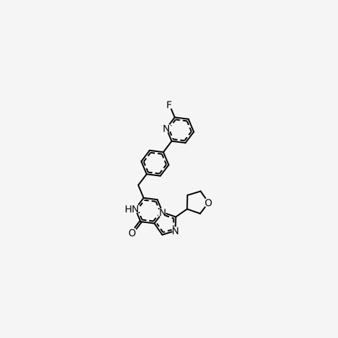 O=c1[nH]c(Cc2ccc(-c3cccc(F)n3)cc2)cn2c(C3CCOC3)ncc12